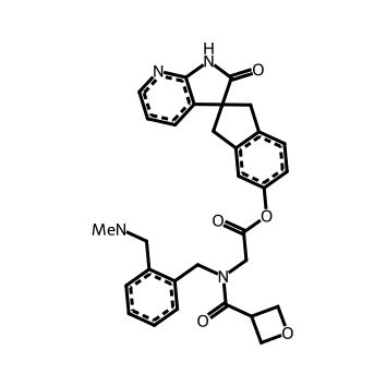 CNCc1ccccc1CN(CC(=O)Oc1ccc2c(c1)CC1(C2)C(=O)Nc2ncccc21)C(=O)C1COC1